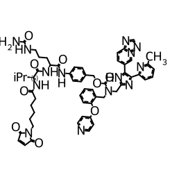 Cc1cccc(-c2nc(CN(Cc3ccccc3Oc3ccncc3)C(=O)OCc3ccc(NC(=O)C(CCCNC(N)=O)NC(=O)[C@@H](NC(=O)CCCCCN4C(=O)C=CC4=O)C(C)C)cc3)[nH]c2-c2ccc3ncnn3c2)n1